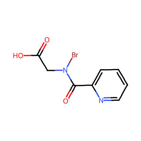 O=C(O)CN(Br)C(=O)c1ccccn1